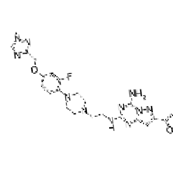 Cn1cnc(COc2ccc(N3CCN(CCNc4nc(N)n5nc(-c6ccco6)cc5n4)CC3)c(F)c2)n1